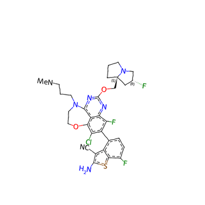 CNCCCN1CCOc2c(Cl)c(-c3ccc(F)c4sc(N)c(C#N)c34)c(F)c3nc(OC[C@@]45CCCN4C[C@H](F)C5)nc1c23